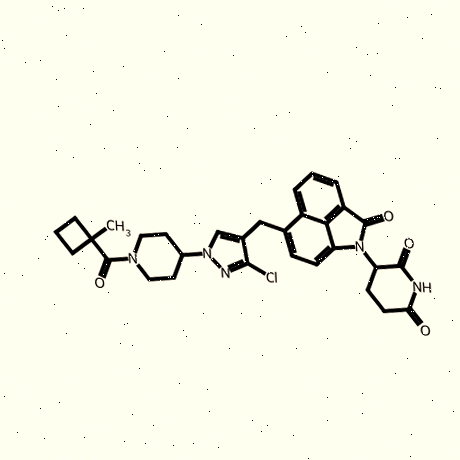 CC1(C(=O)N2CCC(n3cc(Cc4ccc5c6c(cccc46)C(=O)N5C4CCC(=O)NC4=O)c(Cl)n3)CC2)CCC1